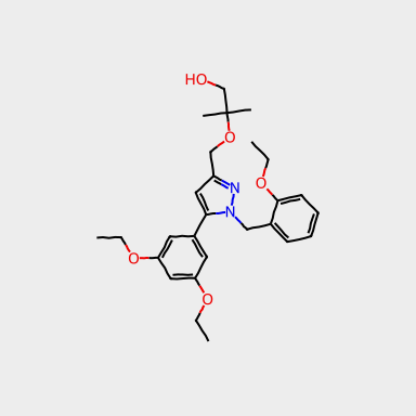 CCOc1cc(OCC)cc(-c2cc(COC(C)(C)CO)nn2Cc2ccccc2OCC)c1